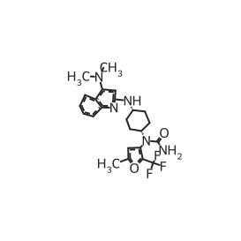 Cc1cc(N(C(N)=O)[C@H]2CC[C@@H](Nc3cc(N(C)C)c4ccccc4n3)CC2)c(C(F)(F)F)o1